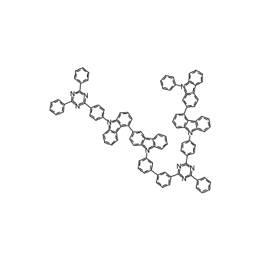 c1ccc(-c2nc(-c3ccccc3)nc(-c3ccc(-n4c5ccccc5c5c(-c6ccc7c(c6)c6ccccc6n7-c6cccc(-c7cccc(-c8nc(-c9ccccc9)nc(-c9ccc(-n%10c%11ccccc%11c%11c(-c%12ccc%13c%14ccccc%14n(-c%14ccccc%14)c%13c%12)cccc%11%10)cc9)n8)c7)c6)cccc54)cc3)n2)cc1